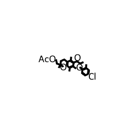 CC(=O)OCCC1(C)CCc2c(C)c(C(=O)C(C)Oc3ccc(Cl)cc3C)c(C)c(C)c2O1